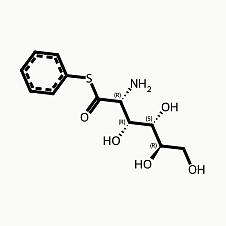 N[C@@H](C(=O)Sc1ccccc1)[C@@H](O)[C@H](O)[C@H](O)CO